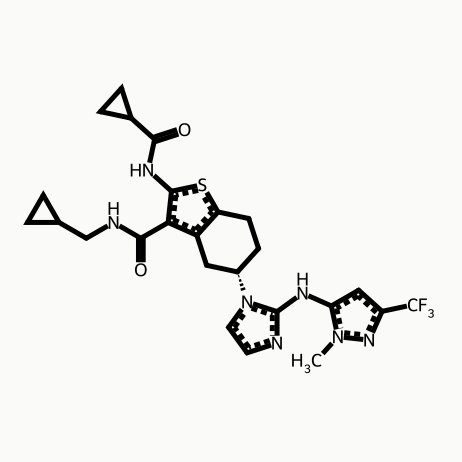 Cn1nc(C(F)(F)F)cc1Nc1nccn1[C@H]1CCc2sc(NC(=O)C3CC3)c(C(=O)NCC3CC3)c2C1